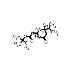 CC(C)[C@]1(C)CC(=O)N/C(=N\C(=O)OC(C)(C)C)N1